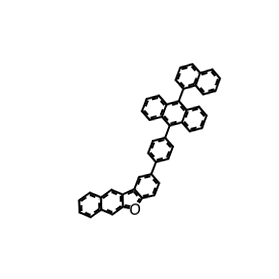 c1ccc2cc3c(cc2c1)oc1ccc(-c2ccc(-c4c5ccccc5c(-c5cccc6ccccc56)c5ccccc45)cc2)cc13